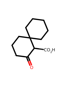 O=C(O)C1C(=O)[CH]CCC12CCCCC2